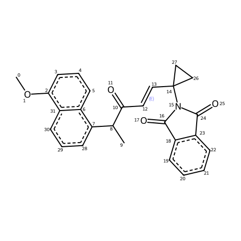 COc1cccc2c(C(C)C(=O)/C=C/C3(N4C(=O)c5ccccc5C4=O)CC3)cccc12